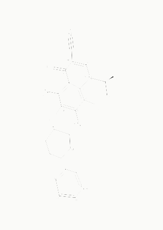 C[C@H]1COc2c(N[C@H]3CCC[C@@H](c4cccnc4)C3)c(F)c(N)c3c(=O)c(C#N)cn1c23